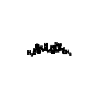 CCC1=CC2=NC(CNCCS(=O)(=O)CC)CN2C=N1